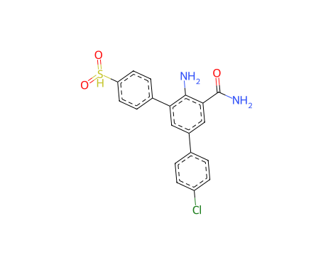 NC(=O)c1cc(-c2ccc(Cl)cc2)cc(-c2ccc([SH](=O)=O)cc2)c1N